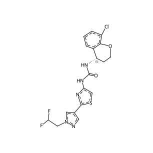 O=C(Nc1csc(-c2cnn(CC(F)F)c2)n1)N[C@H]1CCOc2c(Cl)cccc21